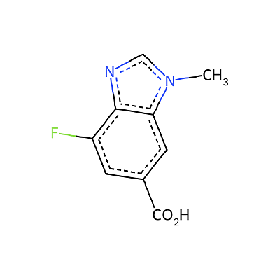 Cn1cnc2c(F)cc(C(=O)O)cc21